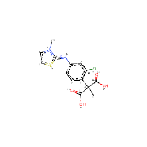 Cn1ccs/c1=N\c1ccc(C(C)(C(=O)O)C(=O)O)c(Cl)c1